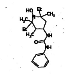 CCC1(C)CC(NC(=O)Nc2ccccc2)C(C)C(C)(CC)N1O